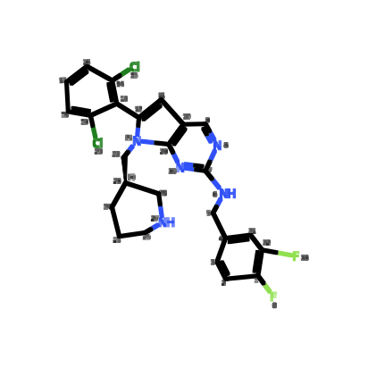 Fc1ccc(CNc2ncc3cc(-c4c(Cl)cccc4Cl)n(C[C@@H]4CCCNC4)c3n2)cc1F